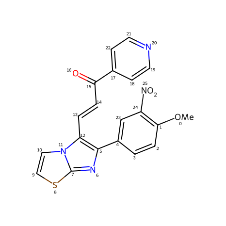 COc1ccc(-c2nc3sccn3c2/C=C/C(=O)c2ccncc2)cc1[N+](=O)[O-]